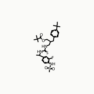 CC(NC(=S)NCC(COC(=O)C(C)(C)C)Cc1ccc(C(C)(C)C)cc1)c1ccc(NS(C)(=O)=O)c(F)c1